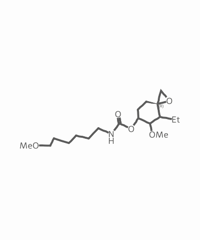 CCC1C(OC)C(OC(=O)NCCCCCCOC)CC[C@]12CO2